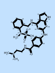 CN(C)CCNC(=O)c1ccc(Nc2nc(NCc3ccccc3N(C)S(C)(=O)=O)c3cc[nH]c3n2)cc1